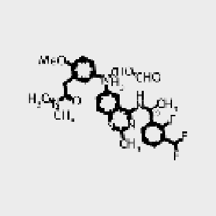 COc1ccc(N(C)c2ccc3nc(C)nc(N[C@@H](C)c4cccc(C(F)F)c4F)c3c2)cc1CC(=O)N(C)C.O=CO